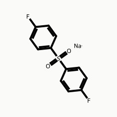 O=S(=O)(c1ccc(F)cc1)c1ccc(F)cc1.[Na]